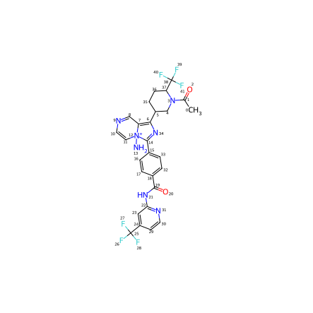 CC(=O)N1CC(C2=C3C=NC=C[N+]3(N)C(c3ccc(C(=O)Nc4cc(C(F)(F)F)ccn4)cc3)=N2)CCC1C(F)(F)F